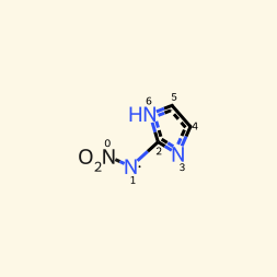 O=[N+]([O-])[N]c1ncc[nH]1